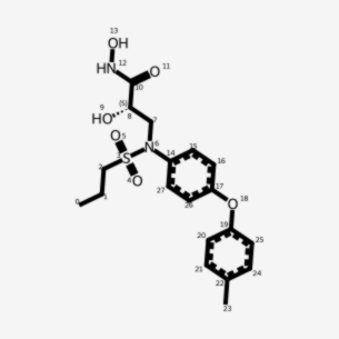 CCCS(=O)(=O)N(C[C@H](O)C(=O)NO)c1ccc(Oc2ccc(C)cc2)cc1